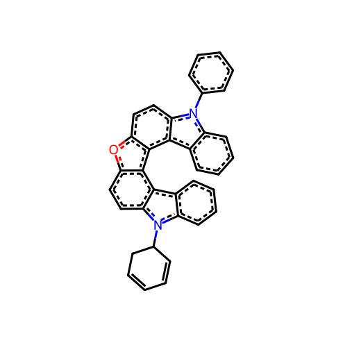 C1=CCC(n2c3ccccc3c3c4c(ccc32)oc2ccc3c(c5ccccc5n3-c3ccccc3)c24)C=C1